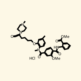 COC(=O)c1ccccc1NC(=O)c1ccc(C(=O)N(C)c2ccc(C)cc2OCCCCC(=C=O)N2CCN(C)CC2)cc1OC.Cl